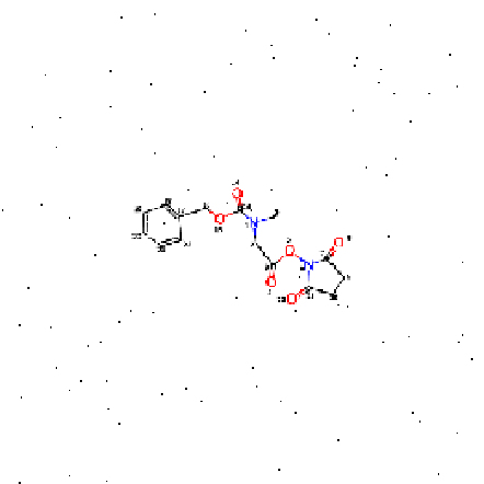 CN(CC(=O)ON1C(=O)CCC1=O)C(=O)OCc1ccccc1